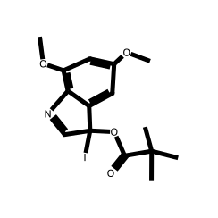 COc1cc(OC)c2c(c1)C(I)(OC(=O)C(C)(C)C)C=N2